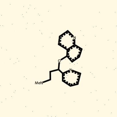 CNCCC(Oc1cccc2ncccc12)c1ccccn1